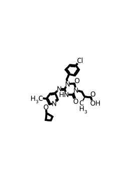 Cc1cc(/N=c2\[nH]c(=O)n(C[C@H](C)C(=O)O)c(=O)n2Cc2ccc(Cl)cc2)cnc1OC1CCC1